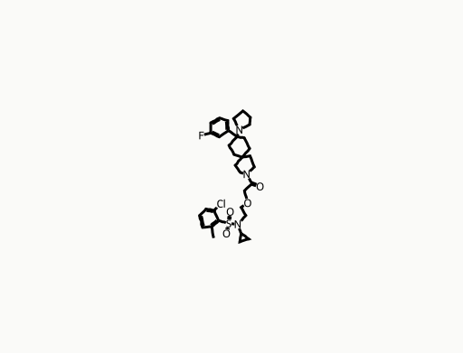 Cc1cccc(Cl)c1S(=O)(=O)N(CCOCC(=O)N1CCC2(CC1)CCC(c1cccc(F)c1)(N1CCCC1)CC2)C1CC1